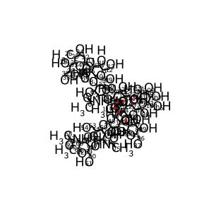 CC(=O)NC1C(O)[C@H](O[C@@H]2OC(CO)[C@H](O)[C@H](O[C@]3(OC=O)C[C@@H](O)[C@@H](C)C([C@H](O)[C@H](O)CO)O3)C2O)[C@H](CO)O[C@H]1OC1[C@@H](OCC2O[C@@H](O[C@@H]3C(CO)O[C@@H](O[C@@H]4C(CO)O[C@@H](C)C(NC(C)=O)[C@H]4O)C(NC(C)=O)[C@H]3O)C(O)[C@@H](O[C@H]3O[C@H](CO)[C@@H](O)C(O)C3O[C@@H]3OC(CO)[C@@H](O[C@@H]4OC(CO)[C@H](O)[C@H](O)C4O)[C@H](O)C3NC(C)=O)[C@@H]2O)OC(CO)[C@@H](O)[C@@H]1O